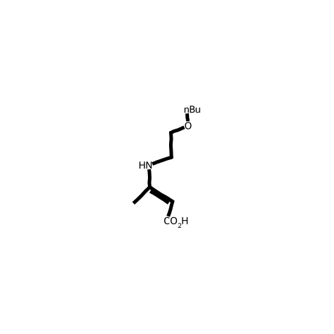 CCCCOCCNC(C)=CC(=O)O